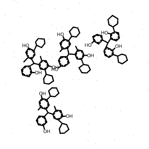 Cc1cc(O)c(C2CCCCC2)cc1C(c1cc(C2CCCCC2)c(O)cc1C)c1ccccc1O.Cc1cc(O)c(C2CCCCC2)cc1C(c1ccc(O)cc1)c1cc(C2CCCCC2)c(O)cc1C.Cc1cc(O)c(C2CCCCC2)cc1C(c1cccc(O)c1)c1cc(C2CCCCC2)c(O)cc1C.Oc1cccc(C(c2cccc(C3CCCCC3)c2O)c2cccc(C3CCCCC3)c2O)c1